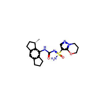 C[C@H]1CCc2cc3c(c(NC(=O)N=[S@@](N)(=O)c4cnn5c4OCCC5)c21)CCC3